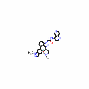 CC(=O)N1CCC(c2nn(CC(=O)Nc3ccnc4ccncc34)c3cccc(-c4cc5c(cnn5C)cc4F)c23)CC1